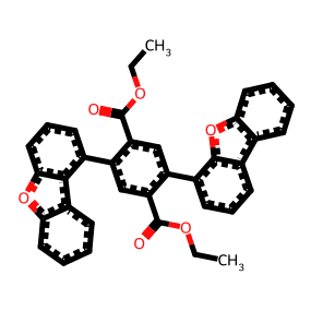 CCOC(=O)c1cc(-c2cccc3oc4ccccc4c23)c(C(=O)OCC)cc1-c1cccc2c1oc1ccccc12